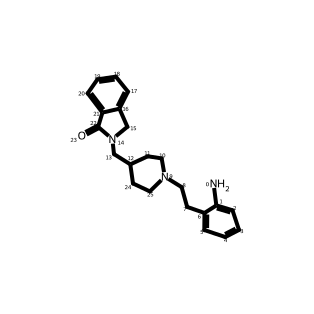 Nc1ccccc1CCN1CCC(CN2Cc3ccccc3C2=O)CC1